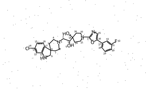 O[C@@H](CN1CCC2(CC1)CNc1cc(Cl)ccc12)C1(O)CCN(c2ncc(-c3cccc(F)c3)o2)CC1